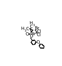 CC1(C)[C@H](C(=O)OCc2cccc(Oc3ccccc3)c2)[C@H]1C(Br)C(Cl)(Cl)Br